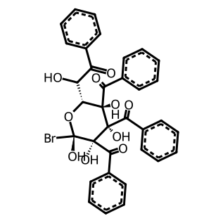 O=C(c1ccccc1)C(O)[C@H]1O[C@@](O)(Br)[C@](O)(C(=O)c2ccccc2)[C@](O)(C(=O)c2ccccc2)[C@@]1(O)C(=O)c1ccccc1